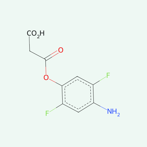 Nc1cc(F)c(OC(=O)CC(=O)O)cc1F